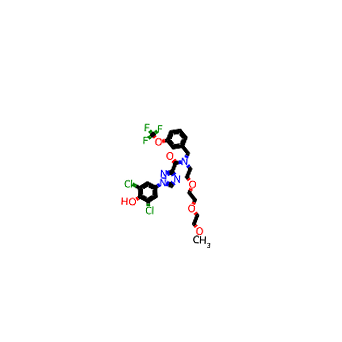 COCCOCCOCCN(Cc1cccc(OC(F)(F)F)c1)C(=O)c1ncn(-c2cc(Cl)c(O)c(Cl)c2)n1